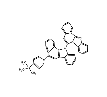 C[Si](C)(C)c1ccc(-c2cc3c4ccccc4n(-c4nc5ccccc5c5nc6ccccc6n45)c3c3ccccc23)cc1